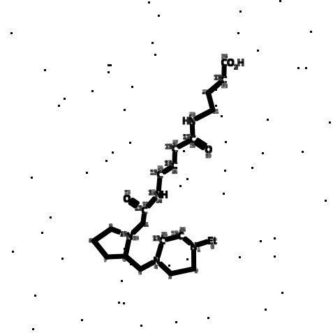 CCN1CCN(CC2CCC[15N]2C[13C](=O)[15NH][13CH2][13CH2][13CH2][13C](=O)NCC[13CH2][13C](=O)O)[13CH2][13CH2]1